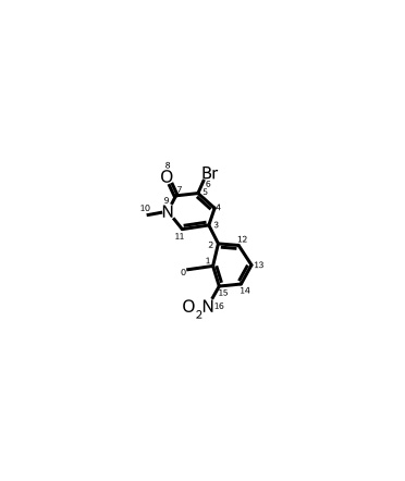 Cc1c(-c2cc(Br)c(=O)n(C)c2)cccc1[N+](=O)[O-]